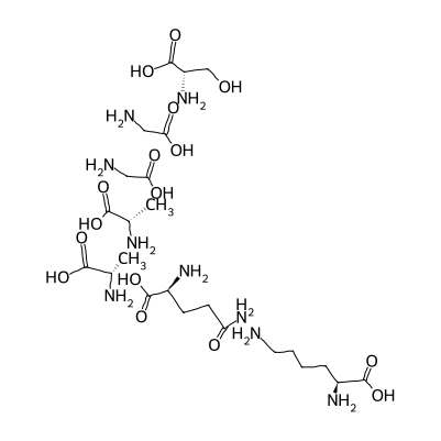 C[C@H](N)C(=O)O.C[C@H](N)C(=O)O.NC(=O)CC[C@H](N)C(=O)O.NCC(=O)O.NCC(=O)O.NCCCC[C@H](N)C(=O)O.N[C@@H](CO)C(=O)O